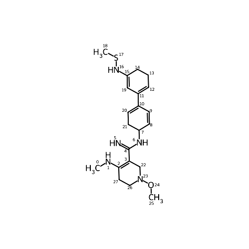 CNC1=C(C(=N)NC2C=CC(C3=CCCC(NSC)=C3)=CC2)CN(OC)CC1